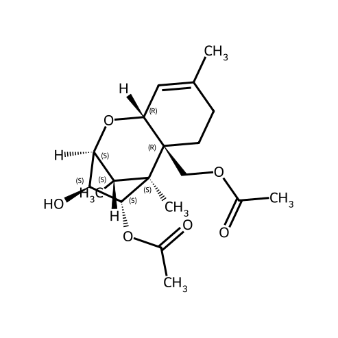 CC(=O)OC[C@]12CCC(C)=C[C@H]1O[C@@H]1[C@H](O)[C@@H](OC(C)=O)[C@@]2(C)[C@@H]1C